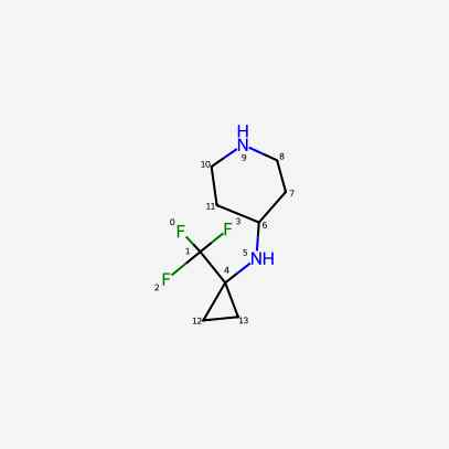 FC(F)(F)C1(NC2CCNCC2)CC1